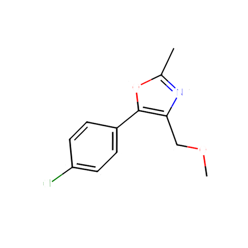 COCc1nc(C)oc1-c1ccc(Cl)cc1